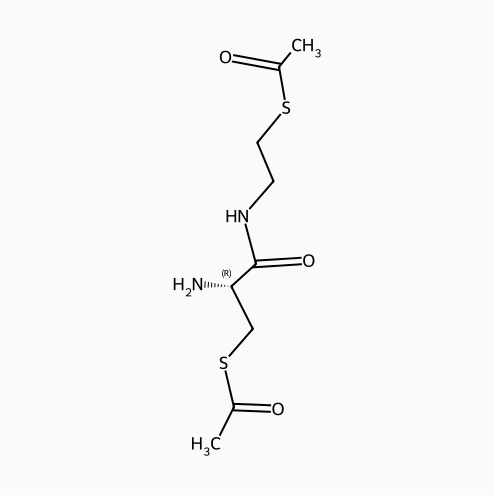 CC(=O)SCCNC(=O)[C@@H](N)CSC(C)=O